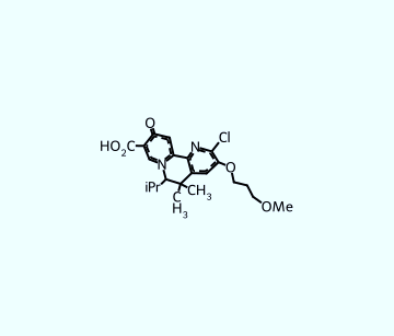 COCCCOc1cc2c(nc1Cl)-c1cc(=O)c(C(=O)O)cn1C(C(C)C)C2(C)C